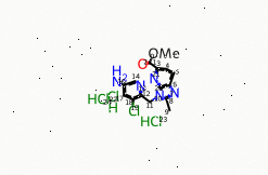 COC(=O)c1ccc2nc(C)n(Cc3ncc(N)cc3Cl)c2n1.Cl.Cl.Cl